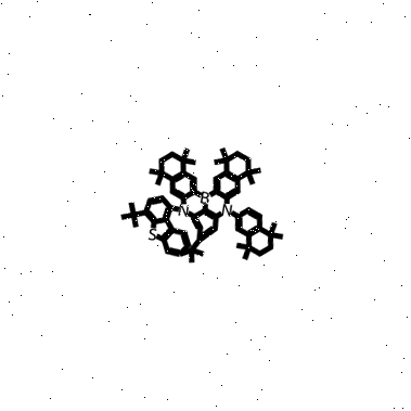 CC(C)(C)c1ccc2c3c1sc1cc(ccc13)C(C)(C)c1cc3c4c(c1)N2c1cc2c(cc1B4c1cc4c(cc1N3c1ccc3c(c1)C(C)(C)CCC3(C)C)C(C)(C)CCC4(C)C)C(C)(C)CCC2(C)C